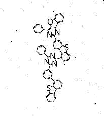 c1ccc(-c2nc(-c3cccc(-c4cccc5c4sc4ccccc45)c3)nc(-c3cccc4sc5cc(-c6nc(-c7ccccc7)c7oc8ccccc8c7n6)ccc5c34)n2)cc1